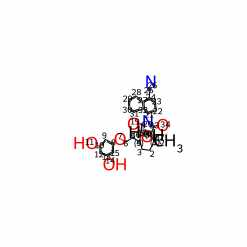 C[C@@]12CC[C@@](CCOc3cc(O)cc(O)c3)(O1)[C@H]1C(=O)N(c3ccc(C#N)c4ccccc34)C(=O)[C@H]12